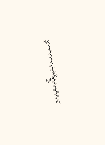 CCCCCCCCCCCCCCCCOC(=O)C(CCCCCCCCCCCC)OP